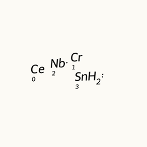 [Ce].[Cr].[Nb].[SnH2]